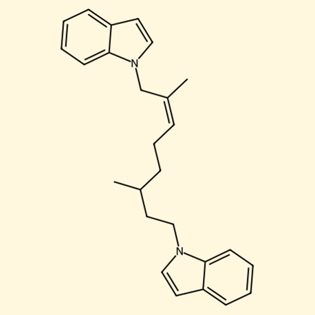 CC(=CCCC(C)CCn1ccc2ccccc21)Cn1ccc2ccccc21